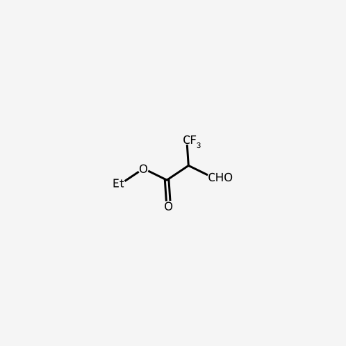 CCOC(=O)C(C=O)C(F)(F)F